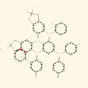 Cc1ccccc1N1c2cc3c(cc2N2c4cc5c(cc4N(c4ccc(C(C)(C)C)cc4-c4ccccc4)c4cc(N(c6ccc(C(C)(C)C)cc6)c6ccc(C(C)(C)C)cc6)cc1c42)CC(C)(C)C5)CC(C)(C)C3